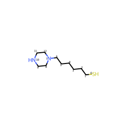 SCCCCCCN1CCNCC1